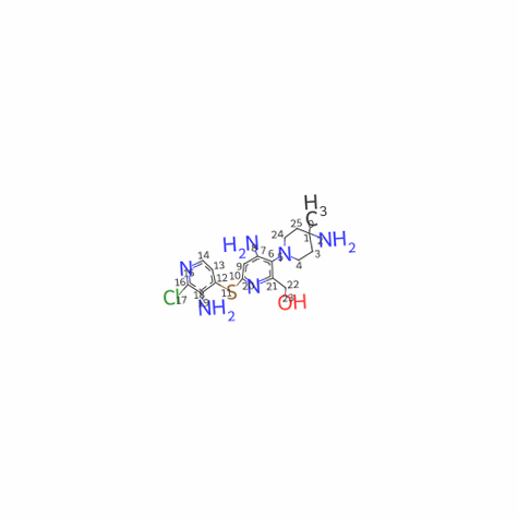 CC1(N)CCN(c2c(N)cc(Sc3ccnc(Cl)c3N)nc2CO)CC1